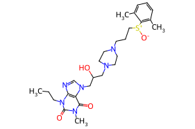 CCCn1c(=O)n(C)c(=O)c2c1ncn2CC(O)CN1CCN(CCC[S+]([O-])c2c(C)cccc2C)CC1